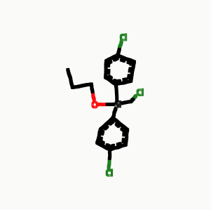 CCCO[Si](CCl)(c1ccc(Cl)cc1)c1ccc(Cl)cc1